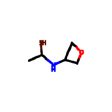 CC(S)NC1COC1